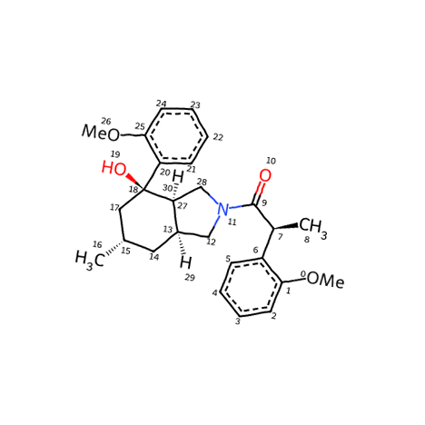 COc1ccccc1[C@H](C)C(=O)N1C[C@H]2C[C@H](C)C[C@](O)(c3ccccc3OC)[C@H]2C1